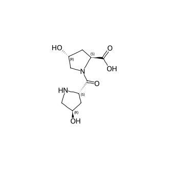 O=C(O)[C@@H]1C[C@@H](O)CN1C(=O)[C@@H]1C[C@@H](O)CN1